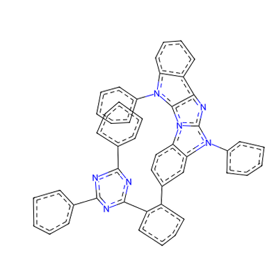 c1ccc(-c2nc(-c3ccccc3)nc(-c3ccccc3-c3ccc4c(c3)n(-c3ccccc3)c3nc5c6ccccc6n(-c6ccccc6)c5n43)n2)cc1